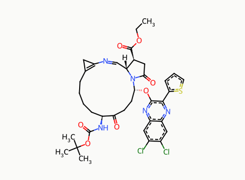 CCOC(=O)[C@H]1CC(=O)N2[C@@H]1/C=N\C1=C(CCCC[C@H](NC(=O)OC(C)(C)C)C(=O)CC[C@H]2Oc2nc3cc(Cl)c(Cl)cc3nc2-c2cccs2)C1